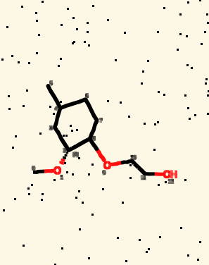 CO[C@@H]1CC(C)CCC1OCCO